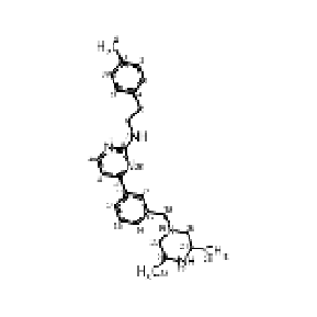 Cc1ccc(CCNc2nccc(-c3cccc(CN4CC(C)NC(C)C4)c3)n2)cc1